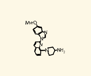 COc1ccc2c(c1)ncn2-c1ccc2cccc(N3CCC(N)CC3)c2n1